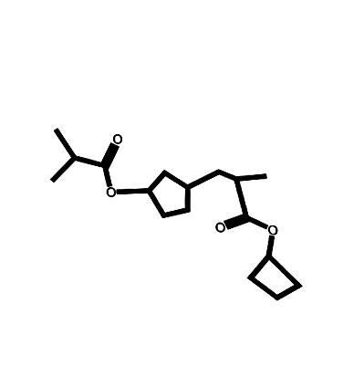 CC(C)C(=O)OC1CCC(CC(C)C(=O)OC2CCC2)C1